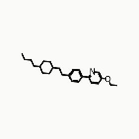 CCCCC1CCC(CCc2ccc(-c3ccc(OCC)cn3)cc2)CC1